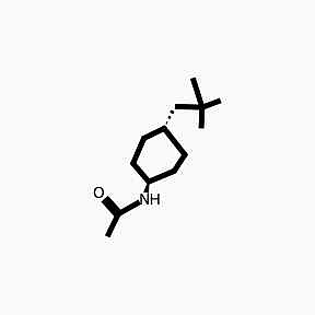 CC(=O)N[C@H]1CC[C@H](CC(C)(C)C)CC1